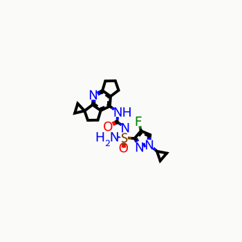 N[S@](=O)(=NC(=O)Nc1c2c(nc3c1CCC31CC1)CCC2)c1nn(C2CC2)cc1F